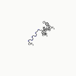 CC/C=C\C/C=C\C/C=C\C/C=C\C/C=C\C/C=C\CCC(=O)NC(CNC(=O)C(C)(C)Oc1ccc(Cl)cc1)C(=O)OC